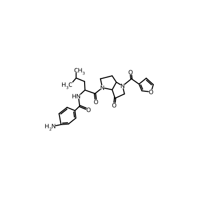 CC(C)CC(NC(=O)c1ccc(N)cc1)C(=O)N1CCC2C1C(=O)CN2C(=O)c1ccoc1